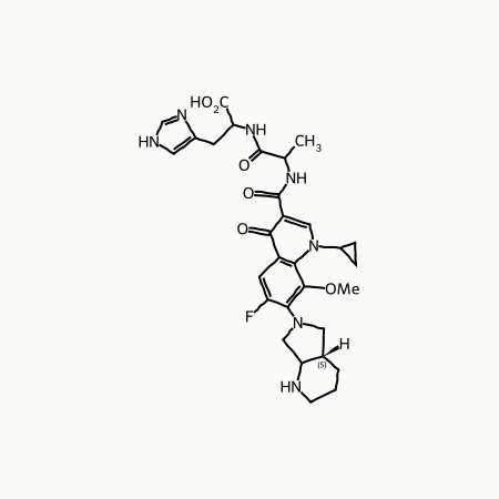 COc1c(N2CC3NCCC[C@H]3C2)c(F)cc2c(=O)c(C(=O)NC(C)C(=O)NC(Cc3c[nH]cn3)C(=O)O)cn(C3CC3)c12